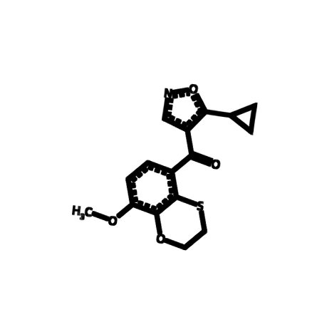 COc1ccc(C(=O)c2cnoc2C2CC2)c2c1OCCS2